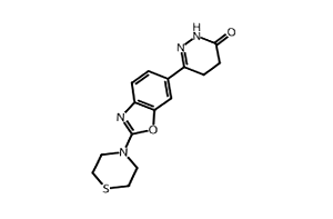 O=C1CCC(c2ccc3nc(N4CCSCC4)oc3c2)=NN1